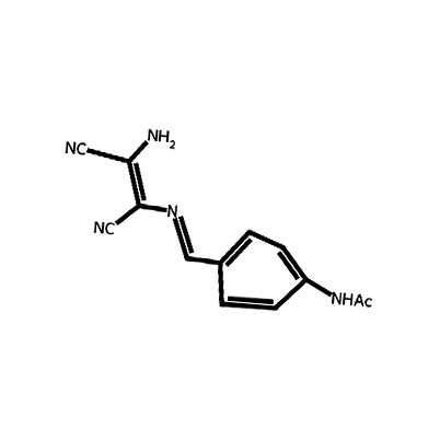 CC(=O)Nc1ccc(C=N/C(C#N)=C(\N)C#N)cc1